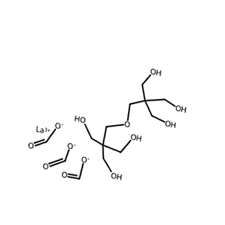 O=C[O-].O=C[O-].O=C[O-].OCC(CO)(CO)COCC(CO)(CO)CO.[La+3]